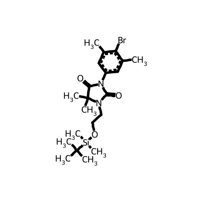 Cc1cc(N2C(=O)N(CCO[Si](C)(C)C(C)(C)C)C(C)(C)C2=O)cc(C)c1Br